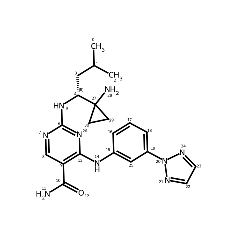 CC(C)C[C@@H](Nc1ncc(C(N)=O)c(Nc2cccc(-n3nccn3)c2)n1)C1(N)CC1